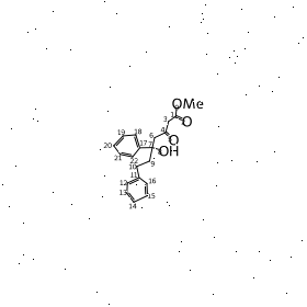 COC(=O)CC(=O)CC(O)(CCc1ccccc1)c1ccccc1